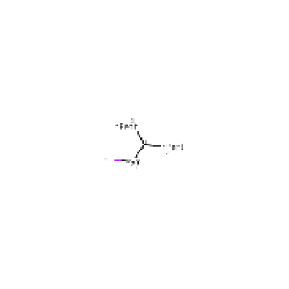 CCCCC[CH](CCCCC)[Sn][I]